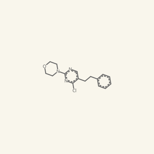 Clc1nc(N2CCOCC2)ncc1CCc1ccccc1